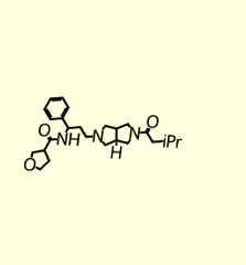 CC(C)CC(=O)N1CC2CN(CCC(NC(=O)C3CCOC3)c3ccccc3)C[C@H]2C1